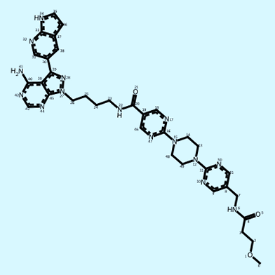 COCCC(=O)NCc1cnc(N2CCN(c3ncc(C(=O)NCCCCn4nc(-c5cnc6[nH]ccc6c5)c5c(N)ncnc54)cn3)CC2)nc1